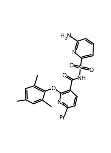 Cc1cc(C)c(Oc2nc(C(C)C)ccc2C(=O)NS(=O)(=O)c2cccc(N)n2)c(C)c1